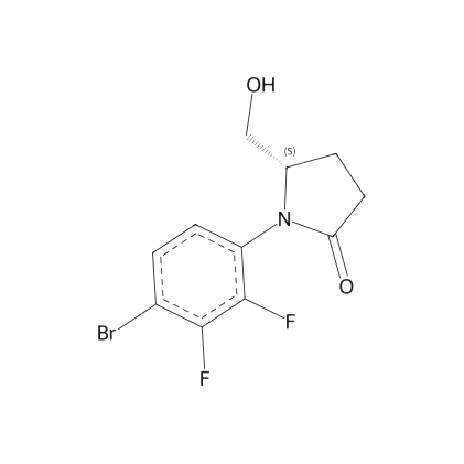 O=C1CC[C@@H](CO)N1c1ccc(Br)c(F)c1F